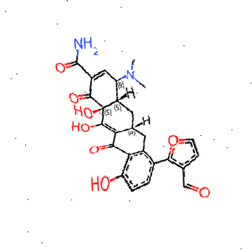 CN(C)[C@@H]1C=C(C(N)=O)C(=O)[C@@]2(O)C(O)=C3C(=O)c4c(O)ccc(-c5occc5C=O)c4C[C@H]3C[C@@H]12